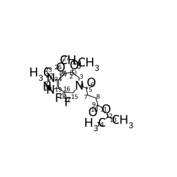 CO[C@H]1CN(C(=O)CCC(=O)OC(C)C)CC(F)(F)c2nnn(C)c2[C@@H]1OC